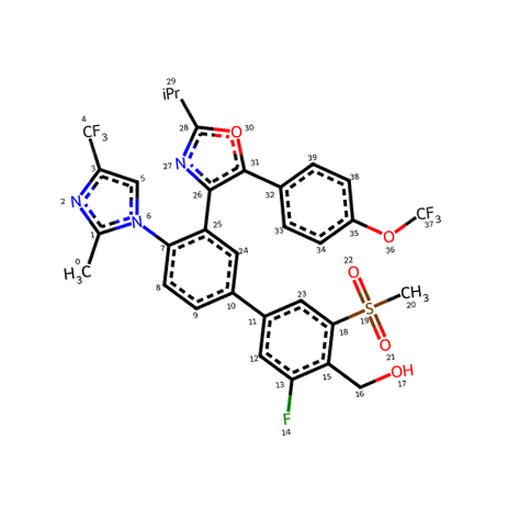 Cc1nc(C(F)(F)F)cn1-c1ccc(-c2cc(F)c(CO)c(S(C)(=O)=O)c2)cc1-c1nc(C(C)C)oc1-c1ccc(OC(F)(F)F)cc1